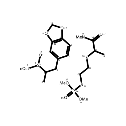 CCCCCCCC[S+]([O-])C(C)Cc1ccc2c(c1)OCO2.CNC(=O)C(C)SCCSP(=O)(OC)OC